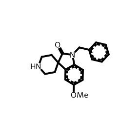 COc1ccc2c(c1)C1(CCNCC1)C(=O)N2Cc1ccccc1